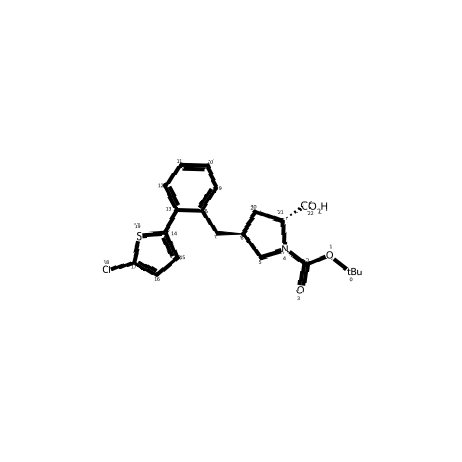 CC(C)(C)OC(=O)N1C[C@@H](Cc2ccccc2-c2ccc(Cl)s2)C[C@@H]1C(=O)O